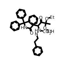 CCOC(C)(OCC)C(=O)C(CC(=O)NC(c1ccccc1)(c1ccccc1)c1ccccc1)N(NCCc1ccccc1)C(=O)O